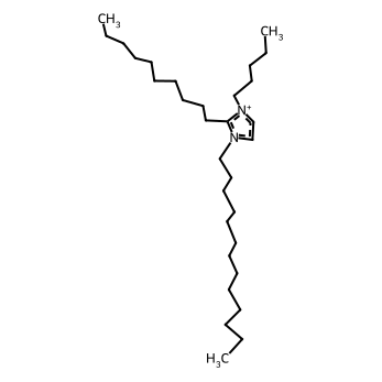 CCCCCCCCCCCCCn1cc[n+](CCCCC)c1CCCCCCCCCC